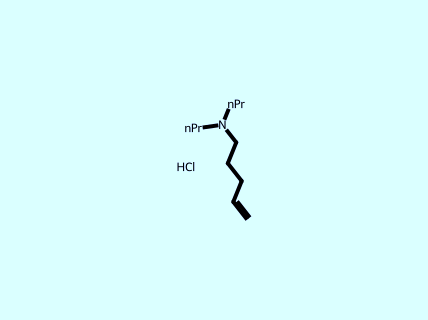 C=CCCCN(CCC)CCC.Cl